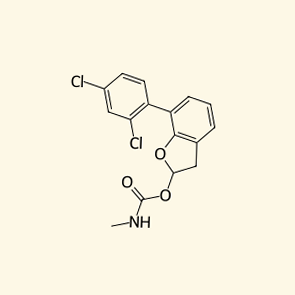 CNC(=O)OC1Cc2cccc(-c3ccc(Cl)cc3Cl)c2O1